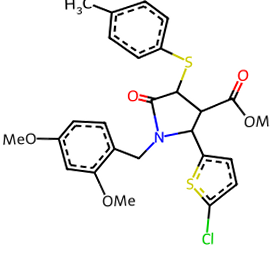 COC(=O)C1C(Sc2ccc(C)cc2)C(=O)N(Cc2ccc(OC)cc2OC)C1c1ccc(Cl)s1